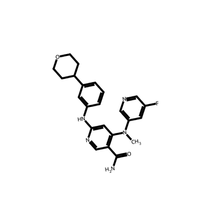 CN(c1cncc(F)c1)c1cc(Nc2cccc(C3CCOCC3)c2)ncc1C(N)=O